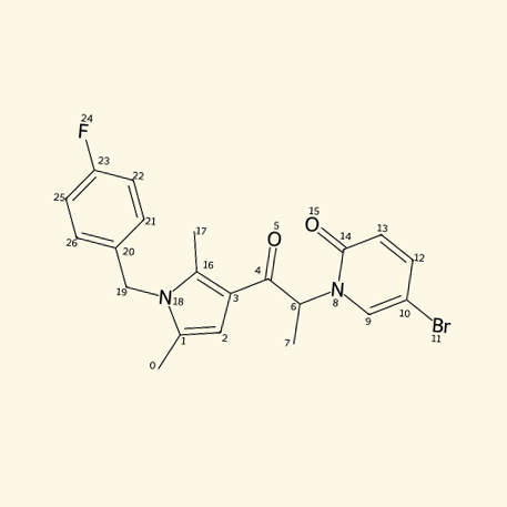 Cc1cc(C(=O)C(C)n2cc(Br)ccc2=O)c(C)n1Cc1ccc(F)cc1